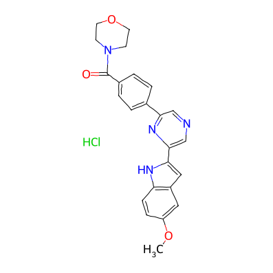 COc1ccc2[nH]c(-c3cncc(-c4ccc(C(=O)N5CCOCC5)cc4)n3)cc2c1.Cl